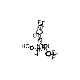 O=C1CN(CC(F)(F)F)CCN1C1CN(c2nc(N[C@H]3C[C@@H](O)C3)nc3c2cnn3-c2cccc(C(F)(F)F)c2)C1